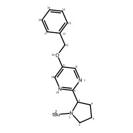 CC(C)(C)N1CCCC1c1ncc(OCc2ccccc2)cn1